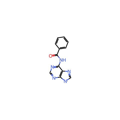 O=C(Nc1ncnc2c1N=C[N]2)c1ccccc1